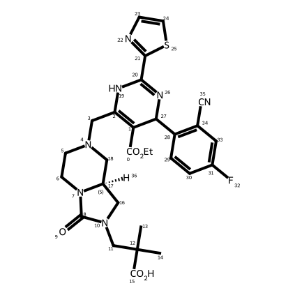 CCOC(=O)C1=C(CN2CCN3C(=O)N(CC(C)(C)C(=O)O)C[C@@H]3C2)NC(c2nccs2)=NC1c1ccc(F)cc1C#N